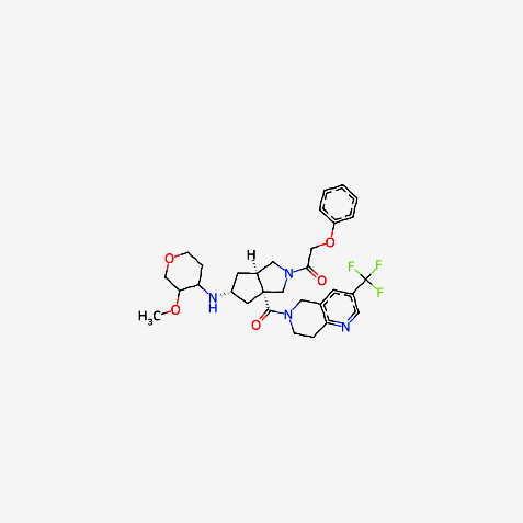 COC1COCCC1N[C@@H]1C[C@H]2CN(C(=O)COc3ccccc3)C[C@@]2(C(=O)N2CCc3ncc(C(F)(F)F)cc3C2)C1